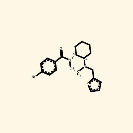 CN(Cc1cccs1)[C@@H]1CCCC[C@H]1N(C)C(=O)c1ccc(C#N)cc1